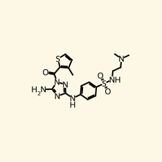 Cc1ccsc1C(=O)n1nc(Nc2ccc(S(=O)(=O)NCCN(C)C)cc2)nc1N